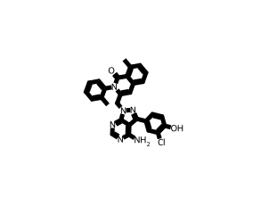 Cc1ccccc1-n1c(Cn2nc(-c3ccc(O)c(Cl)c3)c3c(N)ncnc32)cc2cccc(C)c2c1=O